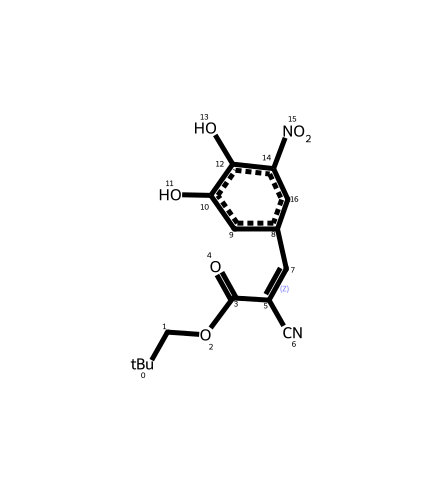 CC(C)(C)COC(=O)/C(C#N)=C\c1cc(O)c(O)c([N+](=O)[O-])c1